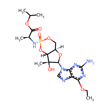 CCOc1nc(N)nc2c1ncn2[C@@H]1O[C@@H]2CO[P@@](=O)(N[C@@H](C)C(=O)OC(C)C)O[C@H]2[C@@]1(C)O